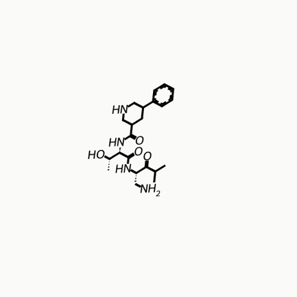 CC(C)C(=O)[C@H](CN)NC(=O)[C@@H](NC(=O)C1CNCC(c2ccccc2)C1)[C@H](C)O